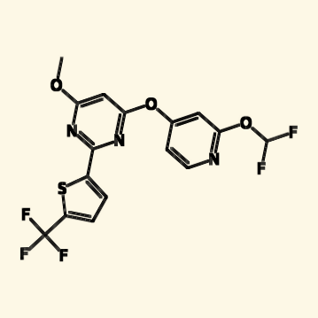 COc1cc(Oc2ccnc(OC(F)F)c2)nc(-c2ccc(C(F)(F)F)s2)n1